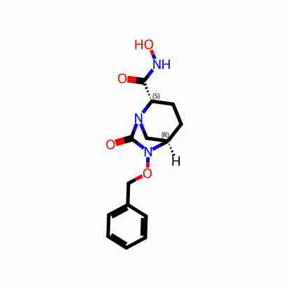 O=C(NO)[C@@H]1CC[C@@H]2CN1C(=O)N2OCc1ccccc1